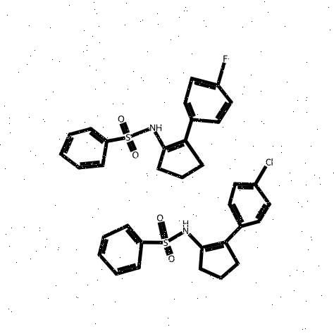 O=S(=O)(NC1=C(c2ccc(Cl)cc2)CCC1)c1ccccc1.O=S(=O)(NC1=C(c2ccc(F)cc2)CCC1)c1ccccc1